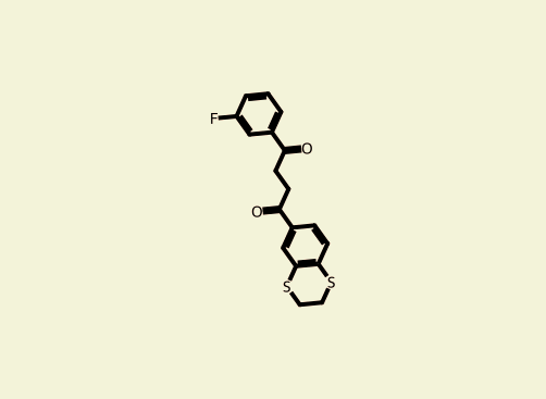 O=C(CCC(=O)c1ccc2c(c1)SCCS2)c1cccc(F)c1